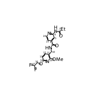 CCC(=O)Nc1cc(C(=O)NCc2ccc(OCC(F)F)nc2OC)ccn1